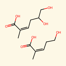 CC(=CCC(O)CO)C(=O)O.CC(=CCCO)C(=O)O